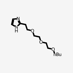 CCCCOCCOCCOCCc1ncc[nH]1